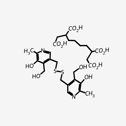 Cc1ncc(CSSCc2cnc(C)c(O)c2CO)c(CO)c1O.O=C(O)CC(CCCCC(CC(=O)O)C(=O)O)C(=O)O